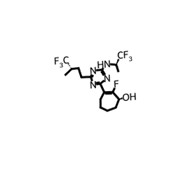 C[C@@H](CCc1nc(N[C@H](C)C(F)(F)F)nc(C2=C(F)[C@@H](O)CCCC2)n1)C(F)(F)F